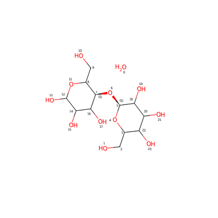 O.OCC1O[C@@H](O[C@@H]2C(CO)OC(O)C(O)C2O)C(O)C(O)C1O